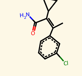 CC(=C(C(N)=O)C1CC1)c1cccc(Cl)c1